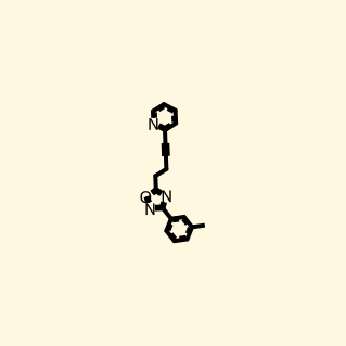 Cc1cccc(-c2noc(CCC#Cc3ccccn3)n2)c1